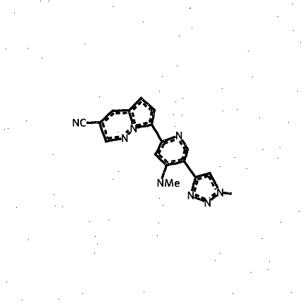 CNc1cc(-c2ccc3cc(C#N)cnn23)ncc1-c1cn(C)nn1